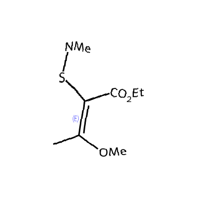 CCOC(=O)/C(SNC)=C(/C)OC